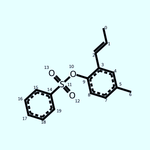 CC=Cc1cc(C)ccc1OS(=O)(=O)c1ccccc1